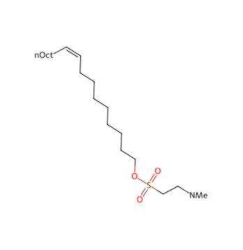 CCCCCCCC/C=C\CCCCCCCCOS(=O)(=O)CCNC